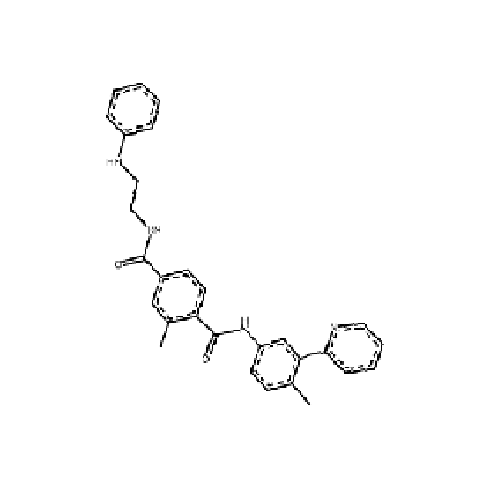 Cc1cc(C(=O)NCCNc2ccccc2)ccc1C(=O)Nc1ccc(C)c(-c2ccccn2)c1